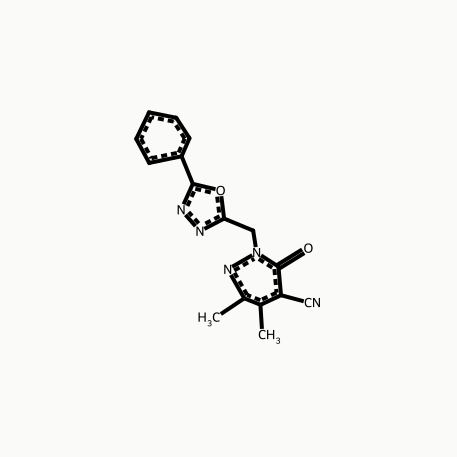 Cc1nn(Cc2nnc(-c3ccccc3)o2)c(=O)c(C#N)c1C